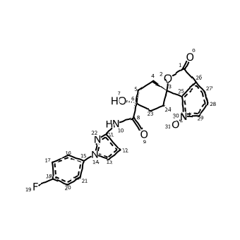 O=C1O[C@]2(CC[C@](O)(C(=O)Nc3ccn(-c4ccc(F)cc4)n3)CC2)c2c1ccc[n+]2[O-]